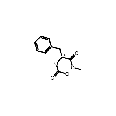 COC(=O)[C@H](Cc1ccccc1)OC(=O)Cl